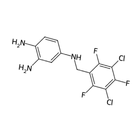 Nc1ccc(NCc2c(F)c(Cl)c(F)c(Cl)c2F)cc1N